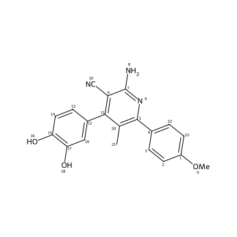 COc1ccc(-c2nc(N)c(C#N)c(-c3ccc(O)c(O)c3)c2C)cc1